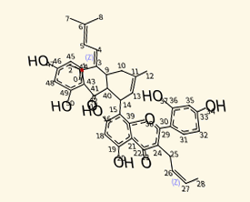 C=C(C)/C(=C\C=C(C)C)C1CC(C)=CC(c2c(O)cc(O)c3c(=O)c(C/C=C\C)c(-c4ccc(O)cc4O)oc23)C1C(=O)c1ccc(O)cc1O